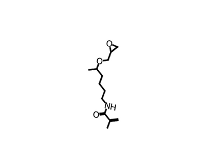 C=C(C)C(=O)NCCCCC(C)OCC1CO1